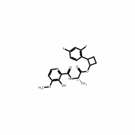 COc1ccnc(C(=O)N[C@@H](C)C(=O)OC2CCC2c2ccc(F)cc2F)c1O